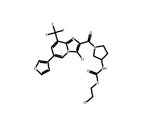 O=C(NC1CCN(C(=O)c2nc3c(C(F)(F)F)cc(-c4ccoc4)cn3c2Cl)C1)OCCCl